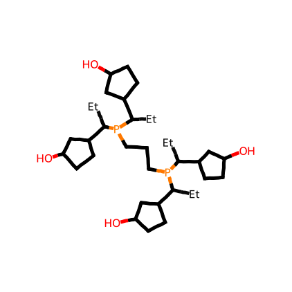 CCC(C1CCC(O)C1)P(CCCP(C(CC)C1CCC(O)C1)C(CC)C1CCC(O)C1)C(CC)C1CCC(O)C1